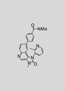 CNC(=O)c1ccc(-c2ccc3ncc4c(c3c2)n(-c2cccnc2C)c(=O)n4C)cc1